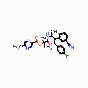 Cc1cnc(C(=O)OC(C)(C)C(=O)NC(C)C(Cc2ccc(Cl)cc2)c2cccc(C#N)c2)cn1